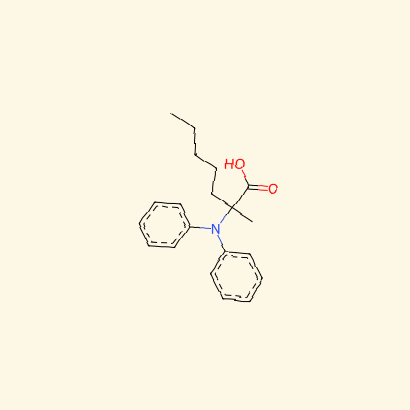 CCCCCC(C)(C(=O)O)N(c1ccccc1)c1ccccc1